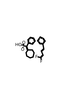 FC(F)=CC=Cc1ccccc1.O=S(=O)(O)C(=C1CCCCCC1)c1ccccc1